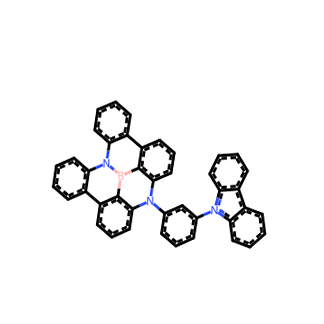 c1cc(N2c3cccc4c3B3c5c(cccc52)-c2ccccc2N3c2ccccc2-4)cc(-n2c3ccccc3c3ccccc32)c1